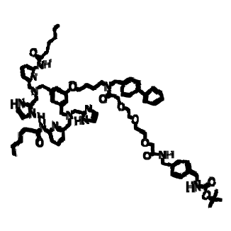 CCCCCC(=O)Nc1cccc(CN(Cc2cc(CN(Cc3cccc(NC(=O)CCCCC)n3)Cc3ncc[nH]3)cc(OCCCCN(Cc3ccc(-c4ccccc4)cc3)C(=O)COCCOCCOCC(=O)NCc3ccc(CNC(=O)OC(C)(C)C)cc3)c2)Cc2ncc[nH]2)n1